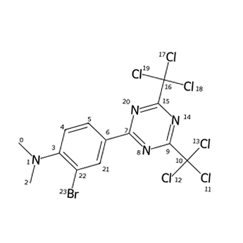 CN(C)c1ccc(-c2nc(C(Cl)(Cl)Cl)nc(C(Cl)(Cl)Cl)n2)cc1Br